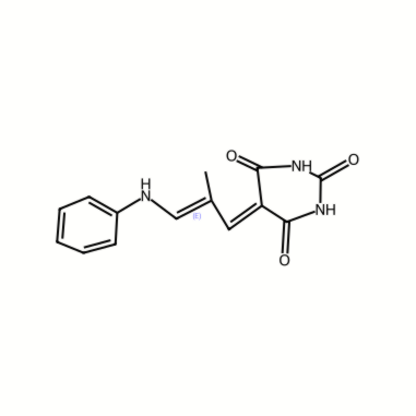 C/C(C=C1C(=O)NC(=O)NC1=O)=C\Nc1ccccc1